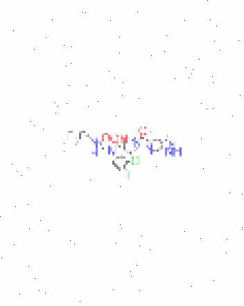 O=C(CN1c2ccc(F)c(Cl)c2C2(CCN(C(=O)c3cc4cn[nH]c4cn3)CC2)C1O)NCC(F)(F)F